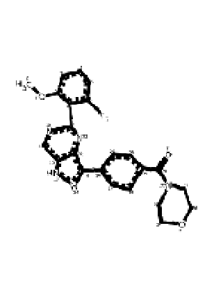 COc1cccc(F)c1-c1ncc2[nH]nc(-c3ccc(C(=O)N4CCOCC4)cc3)c2n1